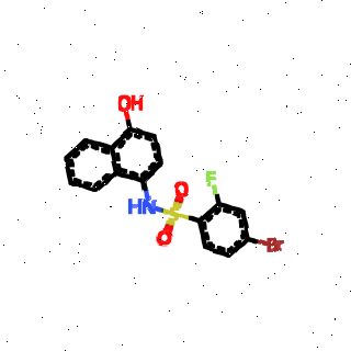 O=S(=O)(Nc1ccc(O)c2ccccc12)c1ccc(Br)cc1F